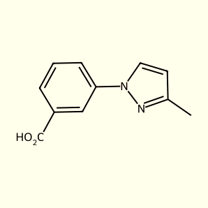 Cc1ccn(-c2cccc(C(=O)O)c2)n1